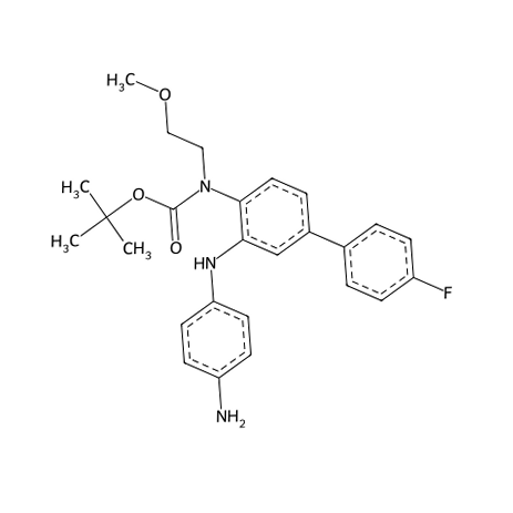 COCCN(C(=O)OC(C)(C)C)c1ccc(-c2ccc(F)cc2)cc1Nc1ccc(N)cc1